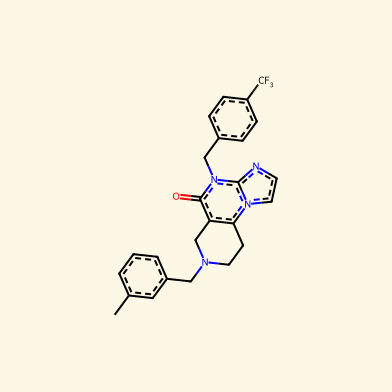 Cc1cccc(CN2CCc3c(c(=O)n(Cc4ccc(C(F)(F)F)cc4)c4nccn34)C2)c1